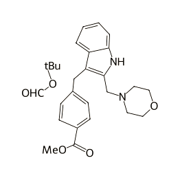 CC(C)(C)OC=O.COC(=O)c1ccc(Cc2c(CN3CCOCC3)[nH]c3ccccc23)cc1